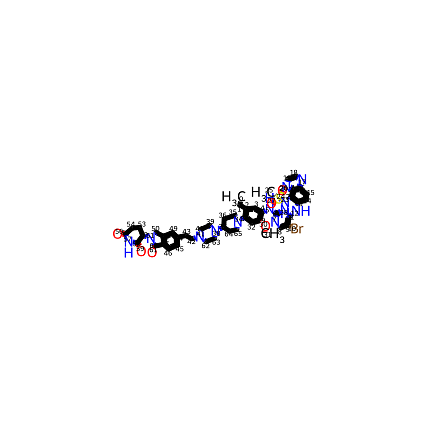 CCc1cc(Nc2ncc(Br)c(Nc3ccc4nccnc4c3NS(C)(=O)=O)n2)c(OC)cc1N1CCC(N2CCN(CCc3ccc4c(c3)CN(C3CCC(=O)NC3=O)C4=O)CC2)CC1